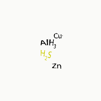 S.[AlH3].[Cu].[Zn]